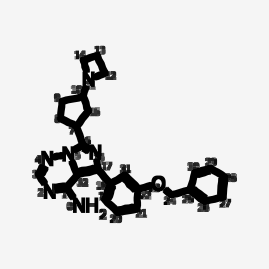 Nc1ncnn2c(C3CCC(N4CCC4)C3)nc(-c3cccc(OCc4ccccc4)c3)c12